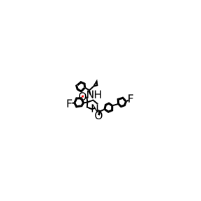 O=C(c1ccc(-c2ccc(F)cc2)cc1)N1CCC(C(=O)NC(c2ccccc2)C2CC2)(c2ccc(F)cc2)CC1